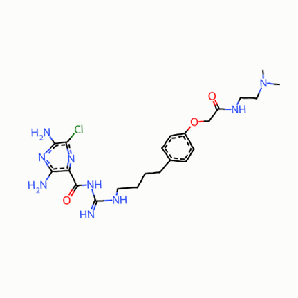 CN(C)CCNC(=O)COc1ccc(CCCCNC(=N)NC(=O)c2nc(Cl)c(N)nc2N)cc1